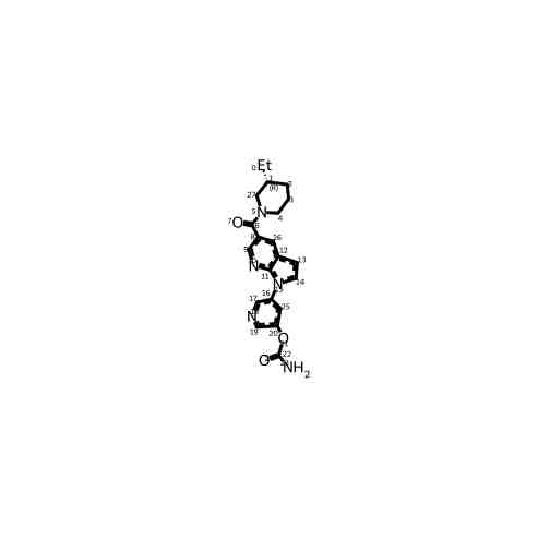 CC[C@@H]1CCCN(C(=O)c2cnc3c(ccn3-c3cncc(OC(N)=O)c3)c2)C1